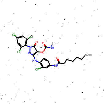 CCCCCCCCCCCCCCCC(=O)Nc1ccc(Nc2[nH]n(-c3c(Cl)cc(Cl)cc3Cl)c(=O)c2OC(=O)NCC)c(Cl)c1